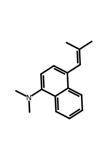 CC(C)=Cc1ccc(N(C)C)c2ccccc12